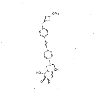 COC1CN(Cc2ccc(C#Cc3ccc([C@@H](CO)Cc4nc[nH]c(=O)c4O)cc3)cc2)C1